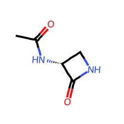 CC(=O)N[C@@H]1CNC1=O